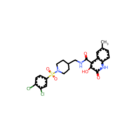 Cc1ccc2[nH]c(=O)c(O)c(C(=O)NCC3CCN(S(=O)(=O)c4ccc(Cl)c(Cl)c4)CC3)c2c1